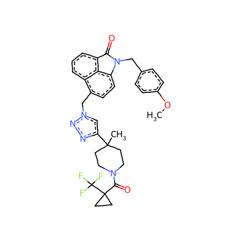 COc1ccc(CN2C(=O)c3cccc4c(Cn5cc(C6(C)CCN(C(=O)C7(C(F)(F)F)CC7)CC6)nn5)ccc2c34)cc1